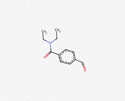 [CH2]CN(CC)C(=O)c1ccc(C=O)cc1